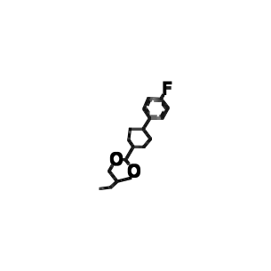 CCC1COC(C2CCC(c3ccc(F)cc3)CC2)OC1